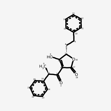 C[C@@H](C(=O)C1=C(O)[C@H](CCc2ccccc2)OC1=O)c1ccccc1